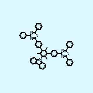 Cc1c(-c2ccc(-c3nc(-c4ccccc4)nc(-c4ccccc4)n3)cc2)c(C)c(-n2c3ccccc3c3ccccc32)c(C)c1-c1ccc(-c2nc(-c3ccccc3)nc(-c3ccccc3)n2)cc1